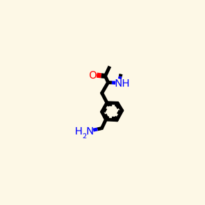 CNC(Cc1cccc(CN)c1)C(C)=O